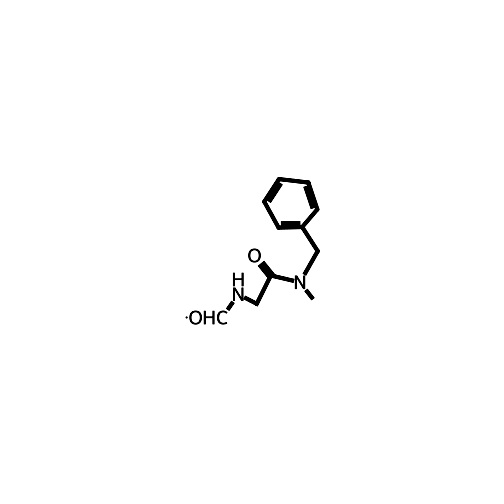 CN(Cc1ccccc1)C(=O)CN[C]=O